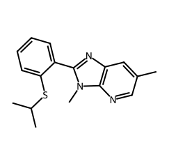 Cc1cnc2c(c1)nc(-c1ccccc1SC(C)C)n2C